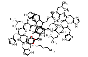 CC(C)C[C@H](NC(=O)OCC1c2ccccc2-c2ccccc21)C(=O)N[C@@H](Cc1c[nH]cn1)C(=O)N[C@@H](Cc1c[nH]cn1)C(=O)N[C@@H](CC(C)C)C(=O)N[C@@H](CC(C)C)C(=O)N[C@@H](Cc1c[nH]cn1)C(=O)N[C@@H](Cc1c[nH]cn1)C(=O)N[C@@H](CC(C)C)C(=O)N[C@@H](Cc1c[nH]cn1)C(=O)N[C@@H](Cc1c[nH]cn1)C(=O)N[C@@H](CCCCN)C(=O)O